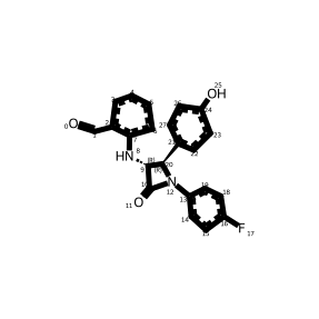 O=Cc1ccccc1N[C@H]1C(=O)N(c2ccc(F)cc2)[C@@H]1c1ccc(O)cc1